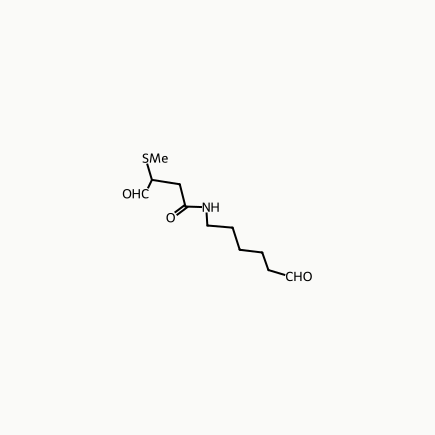 CSC(C=O)CC(=O)NCCCCCC=O